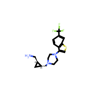 NC[C@@H]1C[C@H]1CN1CCN(c2csc3cc(C(F)(F)F)ccc23)CC1